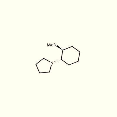 CN[C@H]1CCCC[C@@H]1N1CCCC1